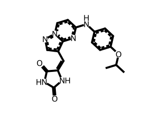 CC(C)Oc1ccc(Nc2ccn3ncc(/C=C4/NC(=O)NC4=O)c3n2)cc1